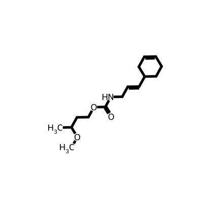 COC(C)CCOC(=O)NC/C=C/C1CC=CCC1